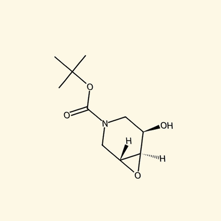 CC(C)(C)OC(=O)N1C[C@@H](O)[C@H]2O[C@@H]2C1